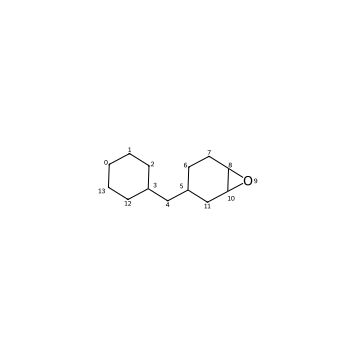 C1CCC(CC2CCC3OC3C2)CC1